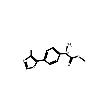 COC(=O)[C@H](N)c1ccc(-c2scnc2C)cc1